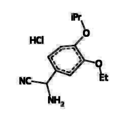 CCOc1cc(C(N)C#N)ccc1OC(C)C.Cl